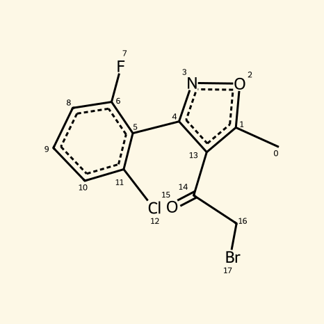 Cc1onc(-c2c(F)cccc2Cl)c1C(=O)CBr